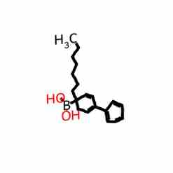 CCCCCCCC1(B(O)O)C=CC(c2ccccc2)=CC1